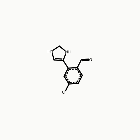 O=Cc1ccc(Cl)cc1C1=CNCN1